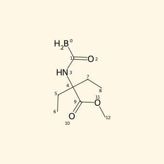 BC(=O)NC(CC)(CC)C(=O)OC